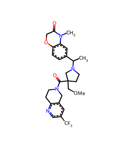 COCC1(C(=O)N2CCc3ncc(C(F)(F)F)cc3C2)CCN(C(C)c2ccc3c(c2)N(C)C(=O)CO3)C1